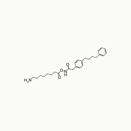 NCCCCCCCC(=O)ONC(=O)Cc1ccc(CCCCc2ccccc2)cc1